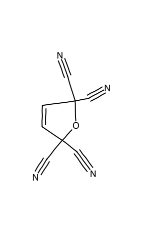 N#CC1(C#N)C=CC(C#N)(C#N)O1